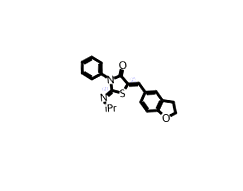 CC(C)/N=C1\S/C(=C\c2ccc3c(c2)CCO3)C(=O)N1c1ccccc1